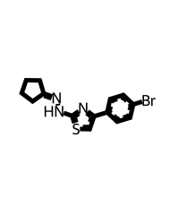 Brc1ccc(-c2csc(NN=C3CCCC3)n2)cc1